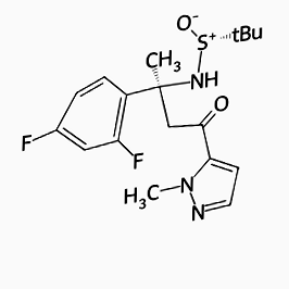 Cn1nccc1C(=O)C[C@](C)(N[S@+]([O-])C(C)(C)C)c1ccc(F)cc1F